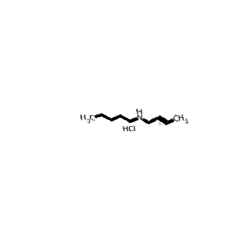 C/C=C/CNCCCCC.Cl